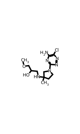 COCC(O)CNC1(C)CCN(c2nnc(Cl)c(N)n2)C1